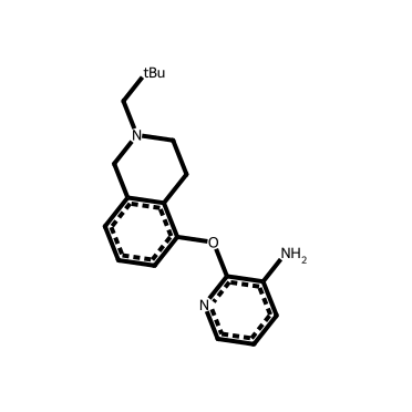 CC(C)(C)CN1CCc2c(cccc2Oc2ncccc2N)C1